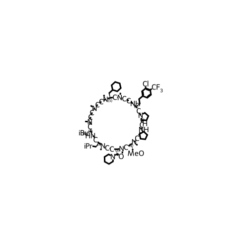 CC[C@H](C)[C@H]1CN(C)CCN(C)CCN(C)[C@@H](CC2CCCCC2)CN(C)CCN[C@@H](CCc2ccc(C(F)(F)F)c(Cl)c2)CN2CCC[C@H]2CNC2(CCCC2)CN(C)[C@H](COC)CN(C)[C@H](C(=O)N2CCCCC2)CCN(C)[C@@H](CC(C)C)CN1